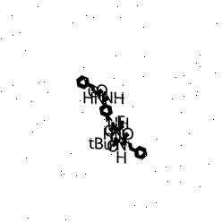 CC(C)(C)OC(=O)N[C@H](CCc1ccccc1)C(=O)NC(CF)C(=O)NCc1ccc(C(=N)NC(=O)OCc2ccccc2)cc1